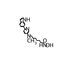 CCN(CCCCCCC(=O)NO)c1ccc(-c2ccc3cc[nH]c3c2)nc1